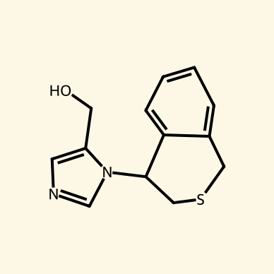 OCc1cncn1C1CSCc2ccccc21